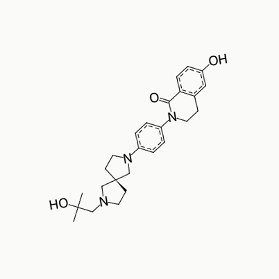 CC(C)(O)CN1CC[C@]2(CCN(c3ccc(N4CCc5cc(O)ccc5C4=O)cc3)C2)C1